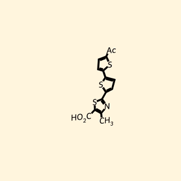 CC(=O)c1ccc(-c2ccc(-c3nc(C)c(C(=O)O)s3)s2)s1